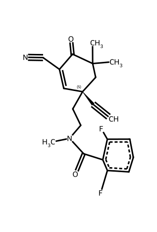 C#C[C@@]1(CCN(C)C(=O)c2c(F)cccc2F)C=C(C#N)C(=O)C(C)(C)C1